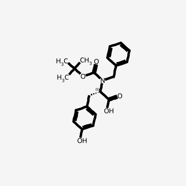 CC(C)(C)OC(=O)N(Cc1ccccc1)[C@@H](Cc1ccc(O)cc1)C(=O)O